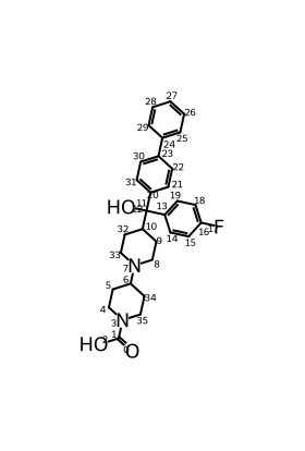 O=C(O)N1CCC(N2CCC(C(O)(c3ccc(F)cc3)c3ccc(-c4ccccc4)cc3)CC2)CC1